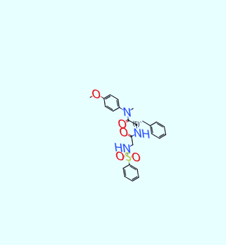 COc1ccc(N(C)C(=O)[C@H](Cc2ccccc2)NC(=O)CNS(=O)(=O)c2ccccc2)cc1